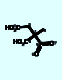 CC(CC(=O)O)(C(=O)O)P(=O)=O